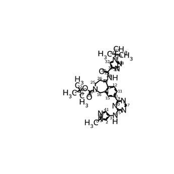 Cn1cc(Nc2ncnc(-c3ccc4c(c3)CN(C(=O)OC(C)(C)C)CC[C@H]4NC(=O)c3cn(C(C)(C)C)nn3)n2)cn1